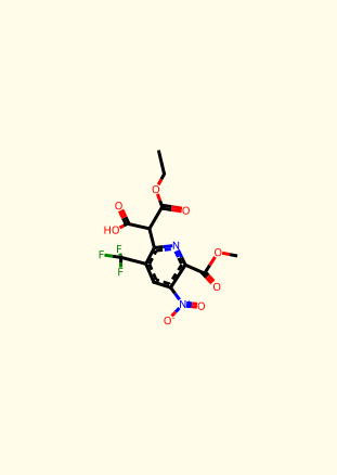 CCOC(=O)C(C(=O)O)c1nc(C(=O)OC)c([N+](=O)[O-])cc1C(F)(F)F